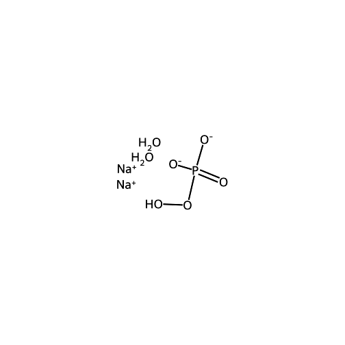 O.O.O=P([O-])([O-])OO.[Na+].[Na+]